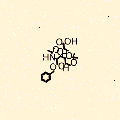 CC(=O)N[C@H]1[C@@H](OCc2ccccc2)O[C@@H]2COC(C)(C)O[C@H]2[C@@H]1OC(C)C(=O)O